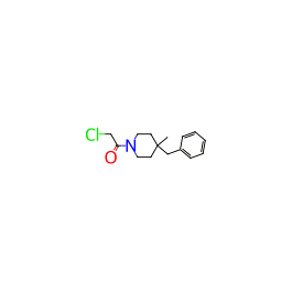 CC1(Cc2ccccc2)CCN(C(=O)CCl)CC1